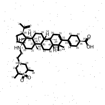 C=C(C)[C@@H]1CC[C@]2(NCCN3CC(C)S(=O)(=O)C(C)C3)CC[C@]3(C)[C@H](CC[C@@H]4[C@@]5(C)CC=C(C6=CC[C@H](C(=O)O)CC6)C(C)(C)[C@@H]5CC[C@]43C)[C@@H]12